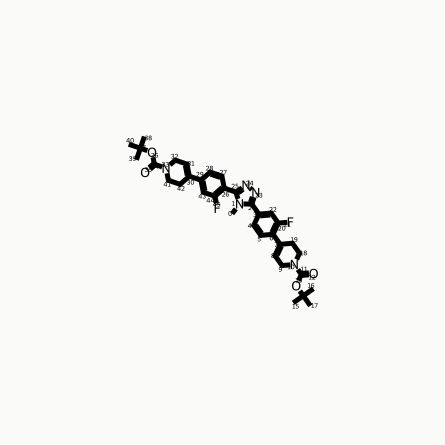 Cn1c(-c2ccc(C3=CCN(C(=O)OC(C)(C)C)CC3)c(F)c2)nnc1-c1ccc(C2=CCN(C(=O)OC(C)(C)C)CC2)cc1F